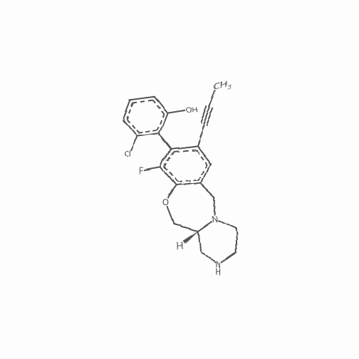 CC#Cc1cc2c(c(F)c1-c1c(O)cccc1Cl)OC[C@H]1CNCCN1C2